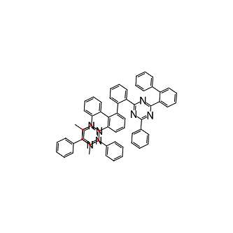 Cc1cc(C)nc(-c2cccc(-c3ccccc3-c3nc(-c4ccccc4)nc(-c4ccccc4-c4ccccc4)n3)c2-c2ccccc2-c2cc(-c3ccccc3)nc(-c3ccccc3)n2)n1